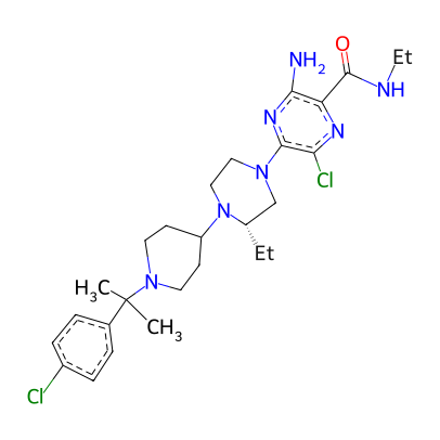 CCNC(=O)c1nc(Cl)c(N2CCN(C3CCN(C(C)(C)c4ccc(Cl)cc4)CC3)[C@@H](CC)C2)nc1N